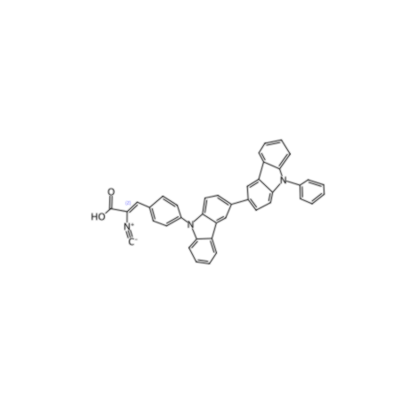 [C-]#[N+]/C(=C\c1ccc(-n2c3ccccc3c3cc(-c4ccc5c(c4)c4ccccc4n5-c4ccccc4)ccc32)cc1)C(=O)O